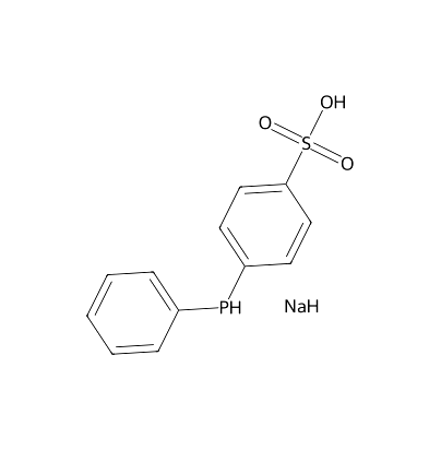 O=S(=O)(O)c1ccc(Pc2ccccc2)cc1.[NaH]